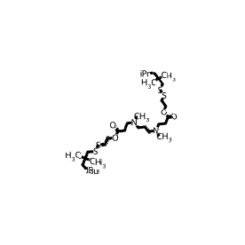 CCC(C)CC(C)(C)CSSCCOC(=O)CCN(C)CCCN(C)CCC(=O)OCCSSCC(C)(C)CC(C)C